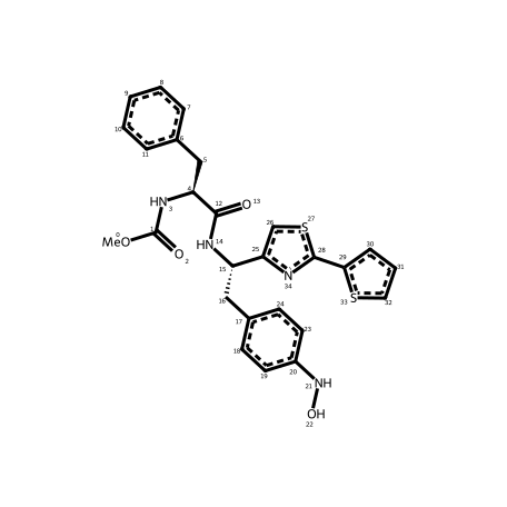 COC(=O)N[C@@H](Cc1ccccc1)C(=O)N[C@@H](Cc1ccc(NO)cc1)c1csc(-c2cccs2)n1